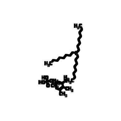 C=C.CCCCCCCCP(CCCCCCCC)CCCCCCCC.Cc1cccc(N)c1C.O=P(O)(O)O